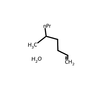 C=CCCC(C)CCC.O